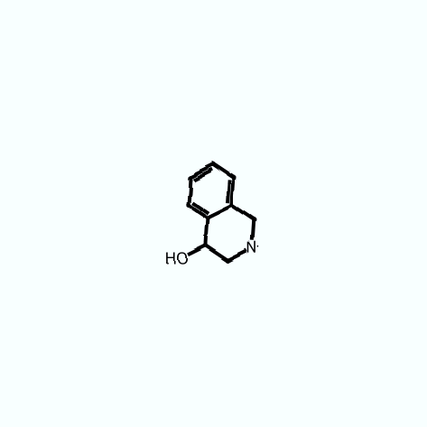 OC1C[N]Cc2ccccc21